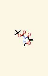 C=C(OCC)C(=O)NC(=O)OC(C)(C)C